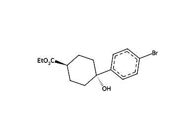 CCOC(=O)[C@H]1CC[C@@](O)(c2ccc(Br)cc2)CC1